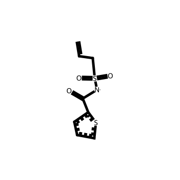 C=CCS(=O)(=O)[N]C(=O)c1cccs1